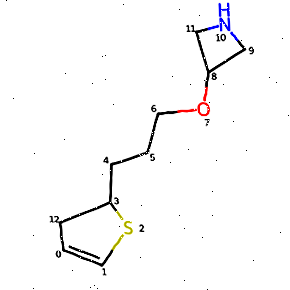 C1=CSC(CCCOC2CNC2)C1